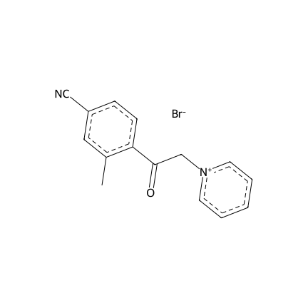 Cc1cc(C#N)ccc1C(=O)C[n+]1ccccc1.[Br-]